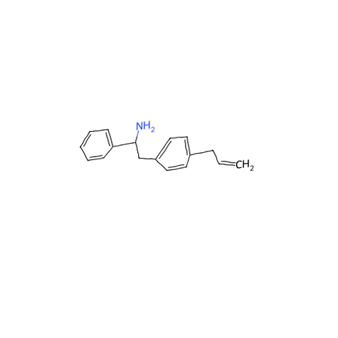 C=CCc1ccc(CC(N)c2ccccc2)cc1